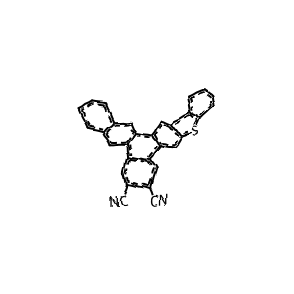 N#Cc1cc2c(cc1C#N)c1cc3sc4ccccc4c3cc1c1cc3ccccc3cc21